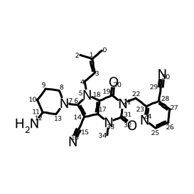 CC(C)=CCn1c(N2CCCC(N)C2)c(C#N)c2c1c(=O)n(Cc1ncccc1C#N)c(=O)n2C